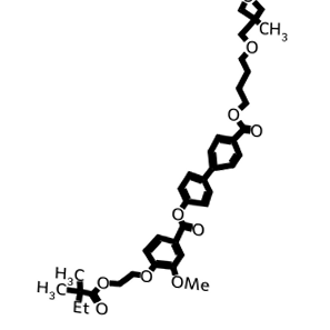 CCC(C)(C)C(=O)OCCOc1ccc(C(=O)Oc2ccc(-c3ccc(C(=O)OCCCCOCC4(C)COC4)cc3)cc2)cc1OC